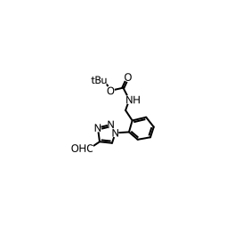 CC(C)(C)OC(=O)NCc1ccccc1-n1cc(C=O)nn1